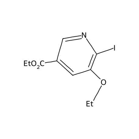 CCOC(=O)c1cnc(I)c(OCC)c1